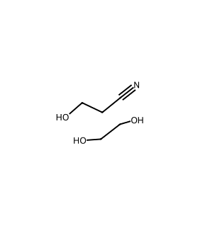 N#CCCO.OCCO